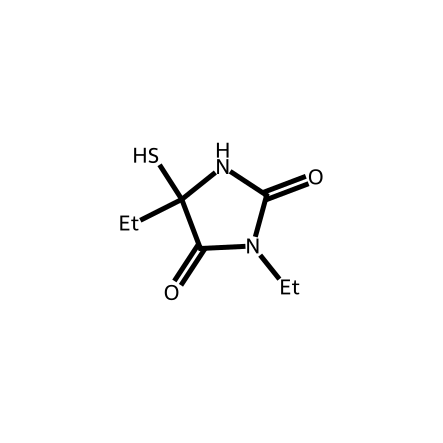 CCN1C(=O)NC(S)(CC)C1=O